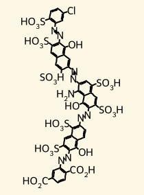 Nc1c(N=Nc2cc3c(O)c(N=Nc4cc(Cl)ccc4S(=O)(=O)O)c(S(=O)(=O)O)cc3cc2S(=O)(=O)O)cc(S(=O)(=O)O)c2cc(S(=O)(=O)O)c(N=Nc3ccc4c(O)c(N=Nc5cc(C(=O)O)ccc5C(=O)O)c(S(=O)(=O)O)cc4c3S(=O)(=O)O)c(O)c12